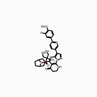 COc1ccc(-c2ccc(-c3cnn4c5c(c(C6CC7CCC(C6)N7C(=O)C(C)(CO)CO)nc34)C(=O)CCN5)cn2)cc1F